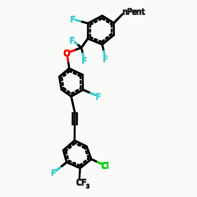 CCCCCc1cc(F)c(C(F)(F)Oc2ccc(C#Cc3cc(F)c(C(F)(F)F)c(Cl)c3)c(F)c2)c(F)c1